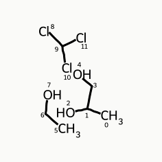 CC(O)CO.CCO.ClC(Cl)Cl